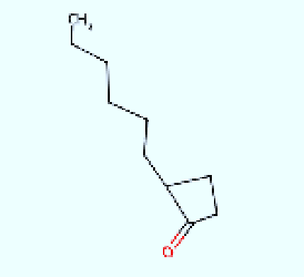 CCCCCCC1CCC1=O